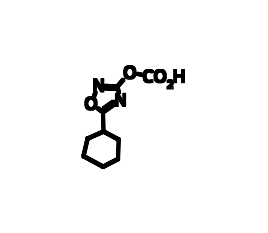 O=C(O)Oc1noc(C2CCCCC2)n1